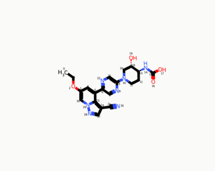 CCOc1cc(-c2cnc(N3CC[C@H](NC(=O)O)[C@@H](O)C3)cn2)c2c(C#N)cnn2c1